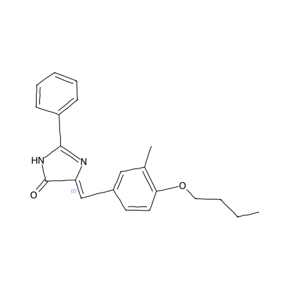 CCCCOc1ccc(/C=C2\N=C(c3ccccc3)NC2=O)cc1C